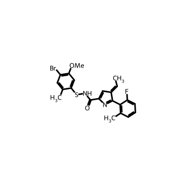 C/C=C1\C=C(C(=O)NSc2cc(OC)c(Br)cc2C)N=C1c1c(C)cccc1F